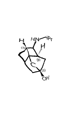 CC(C)NC1[C@@H]2CC3C[C@H]1C[C@@](O)(C3)C2